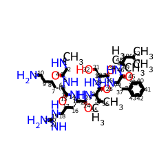 CNCC(=O)N[C@@H](CCCCN)C(=O)N[C@@H](CCCNC(=N)N)C(=O)NC(C(=O)N[C@@H](CO)C(=O)N[C@@H](Cc1ccccc1)C(=O)NC(C)(C)CC(C)C)C(C)C